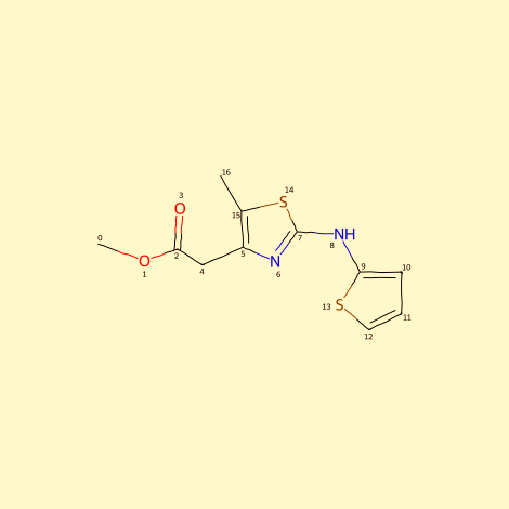 COC(=O)Cc1nc(Nc2cccs2)sc1C